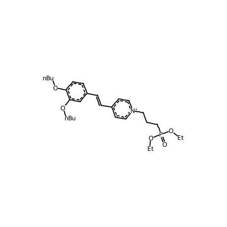 CCCCOc1ccc(C=Cc2cc[n+](CCCP(=O)(OCC)OCC)cc2)cc1OCCCC